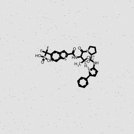 CC(C)(C)C(NC(=O)c1cc2cc(C(F)(F)P(=O)(O)O)ccc2s1)C(=O)N1CCC[C@H]1C(=O)Nc1ccc(-c2ccccc2)s1